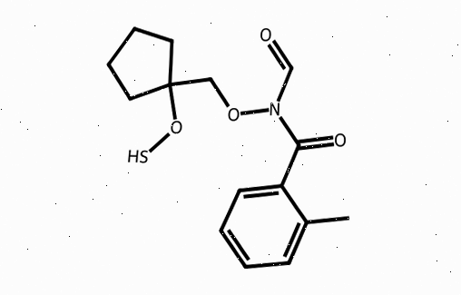 Cc1ccccc1C(=O)N(C=O)OCC1(OS)CCCC1